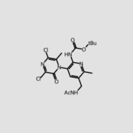 CC(=O)NCc1cc(-n2c(C)c(Cl)nc(Cl)c2=O)c(NC(=O)OC(C)(C)C)nc1C